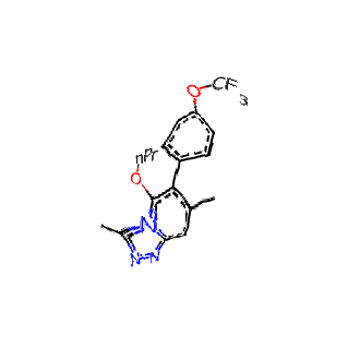 CCCOc1c(-c2ccc(OC(F)(F)F)cc2)c(C)cc2nnc(C)n12